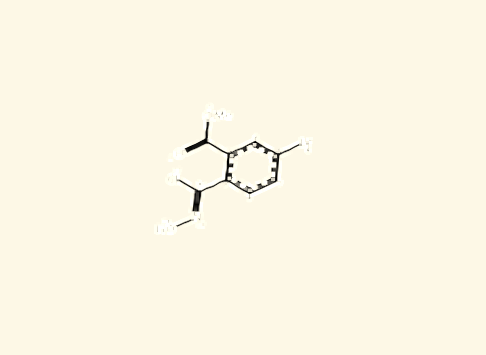 COC(=O)c1cc(Br)ccc1C(Cl)=NO